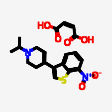 CC(C)N1CC=C(c2csc3c([N+](=O)[O-])cccc23)CC1.O=C(O)/C=C\C(=O)O